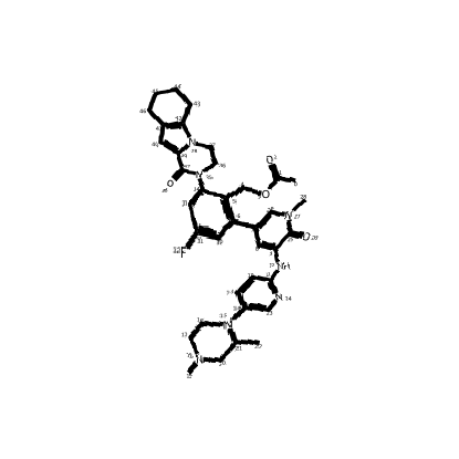 CC(=O)OCc1c(-c2cc(Nc3ccc(N4CCN(C)CC4C)cn3)c(=O)n(C)c2)cc(F)cc1N1CCn2c(cc3c2CCCC3)C1=O